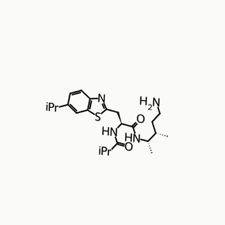 CC(C)C(=O)N[C@@H](Cc1nc2ccc(C(C)C)cc2s1)C(=O)N[C@@H](C)[C@@H](C)CCN